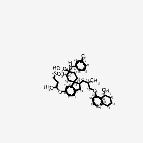 CC(CCS(=O)(=O)O)Oc1ccc2c(c1)C1(CCC(Nc3cccc(Cl)c3)(C(=O)O)CC1)C(C[C@@H](C)COc1ccnc3c1[C@H](C)CCC3)C2